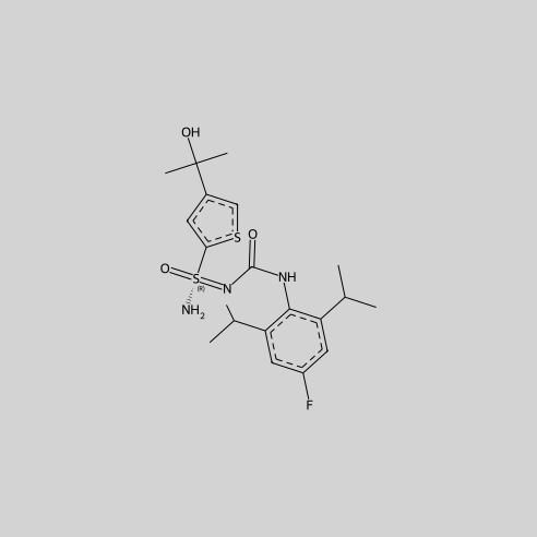 CC(C)c1cc(F)cc(C(C)C)c1NC(=O)N=[S@@](N)(=O)c1cc(C(C)(C)O)cs1